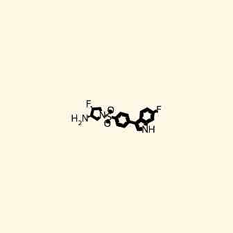 N[C@@H]1CN(S(=O)(=O)c2ccc(-c3c[nH]c4cc(F)ccc34)cc2)C[C@H]1F